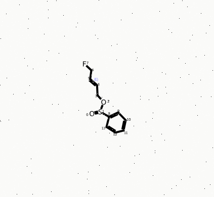 O=S(OC/C=C/CF)c1ccccc1